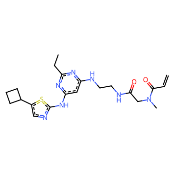 C=CC(=O)N(C)CC(=O)NCCNc1cc(Nc2ncc(C3CCC3)s2)nc(CC)n1